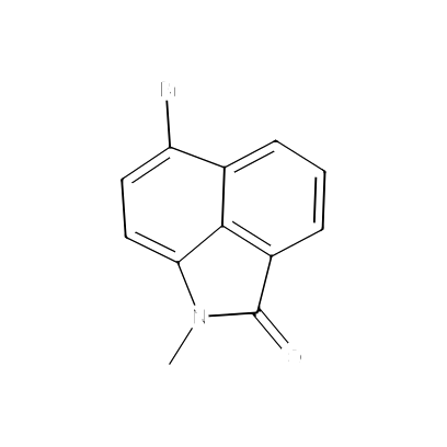 CN1C(=O)c2cccc3c(Br)ccc1c23